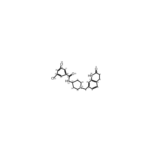 O=C1CCc2ccc(CN3CCC(NC(=O)c4cc(Cl)cc(Cl)c4)CC3)cc2N1